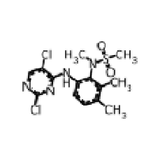 Cc1ccc(Nc2nc(Cl)ncc2Cl)c(N(C)S(C)(=O)=O)c1C